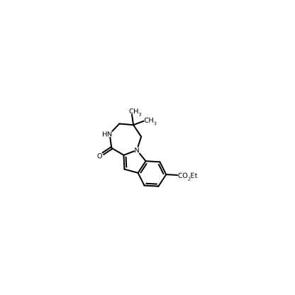 CCOC(=O)c1ccc2cc3n(c2c1)CC(C)(C)CNC3=O